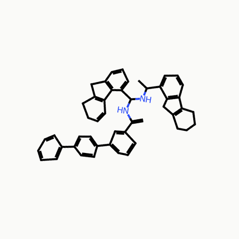 C=C(NC(NC(C)c1cccc2c1CC1=C2CCCC1)c1cccc2c1C1=C(CCC=C1)C2)c1cccc(-c2ccc(-c3ccccc3)cc2)c1